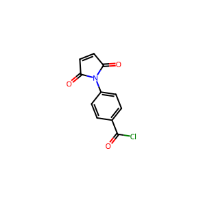 O=C(Cl)c1ccc(N2C(=O)C=CC2=O)cc1